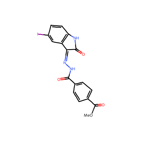 COC(=O)c1ccc(C(=O)N/N=C2\C(=O)Nc3ccc(I)cc32)cc1